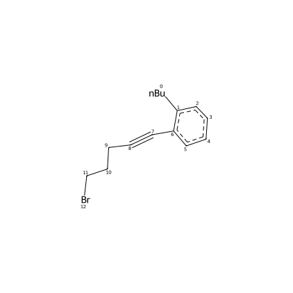 CCCCc1ccccc1C#CCCCBr